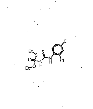 CCOP(=O)(NC(=S)Nc1ccc(Cl)cc1Cl)SCC